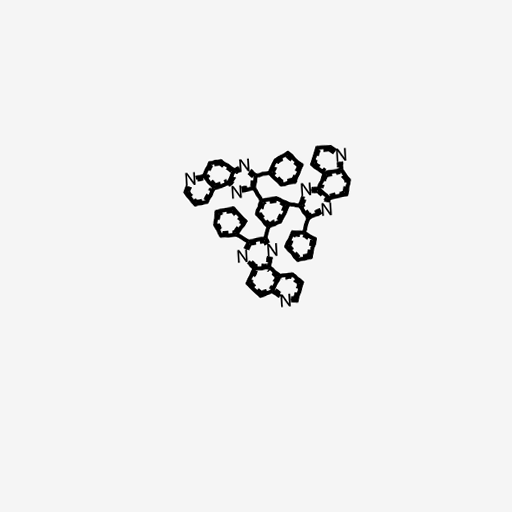 c1ccc(-c2nc3ccc4ncccc4c3nc2-c2cc(-c3nc4c(ccc5ncccc54)nc3-c3ccccc3)cc(-c3nc4c(ccc5ncccc54)nc3-c3ccccc3)c2)cc1